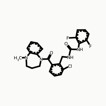 CN1CCCN(C(=O)c2cccc(Cl)c2CNC(=O)Nc2c(F)cccc2F)c2ccccc21